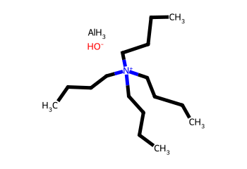 CCCC[N+](CCCC)(CCCC)CCCC.[AlH3].[OH-]